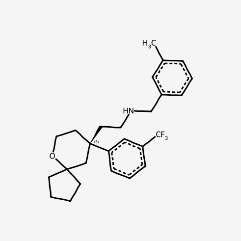 Cc1cccc(CNCC[C@]2(c3cccc(C(F)(F)F)c3)CCOC3(CCCC3)C2)c1